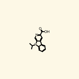 CC(C)n1c2ccccc2c2cc(C(=O)O)ncc21